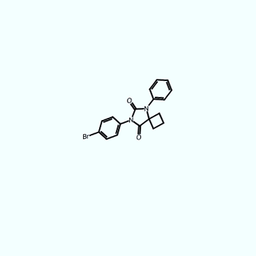 O=C1N(c2ccc(Br)cc2)C(=O)C2(CCC2)N1c1ccccc1